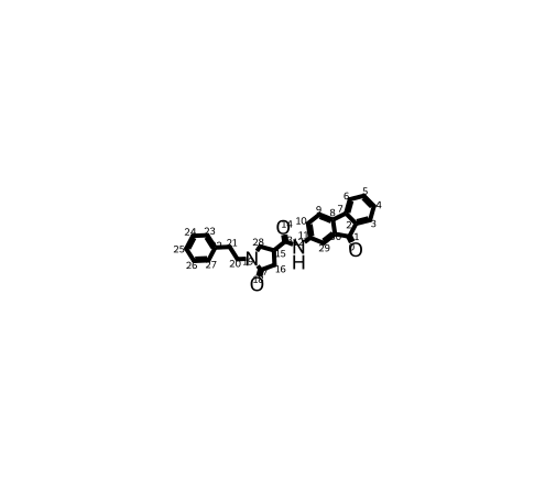 O=C1c2ccccc2-c2ccc(NC(=O)C3CC(=O)N(CCc4ccccc4)C3)cc21